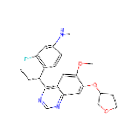 CCC(c1ccc(NC)cc1F)c1ncnc2cc(OC3CCOC3)c(OC)cc12